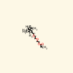 C=CC(=O)OCCOCCOCCC[Si](C(C)C)(C(C)C)C(C)C